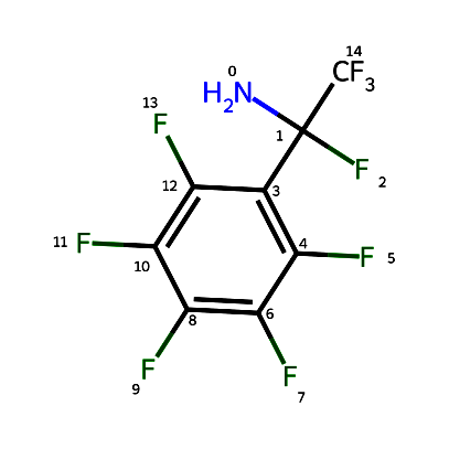 NC(F)(c1c(F)c(F)c(F)c(F)c1F)C(F)(F)F